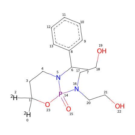 [2H]C1([2H])CCN(C(C)c2ccccc2)P(=O)(N(CCO)CCO)O1